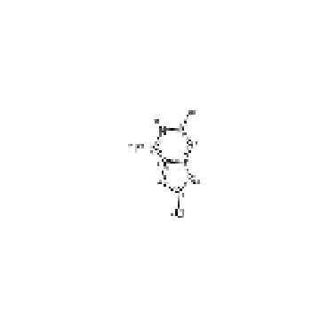 Cc1cc2sc(Cl)cc2c(Cl)n1